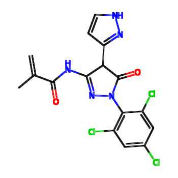 C=C(C)C(=O)NC1=NN(c2c(Cl)cc(Cl)cc2Cl)C(=O)C1c1cc[nH]n1